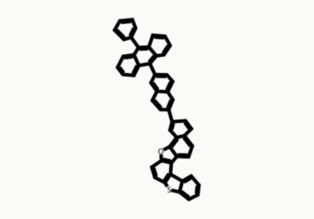 c1ccc(-c2c3ccccc3c(-c3ccc4cc(-c5ccc6ccc7c(oc8ccc9sc%10ccccc%10c9c87)c6c5)ccc4c3)c3ccccc23)cc1